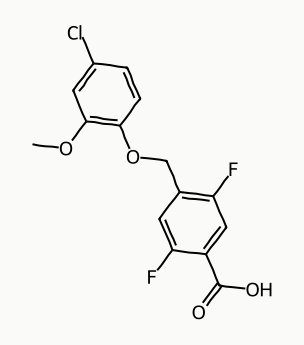 COc1cc(Cl)ccc1OCc1cc(F)c(C(=O)O)cc1F